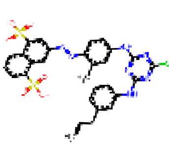 C=CCc1cccc(Nc2nc(Cl)nc(Nc3ccc(N=Nc4cc(S(=O)(=O)O)c5cccc(S(=O)(=O)O)c5c4)c(C)c3)n2)c1